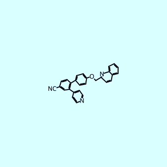 N#Cc1ccc(-c2ccc(OCc3ccc4ccccc4n3)cc2)c(-c2ccncc2)c1